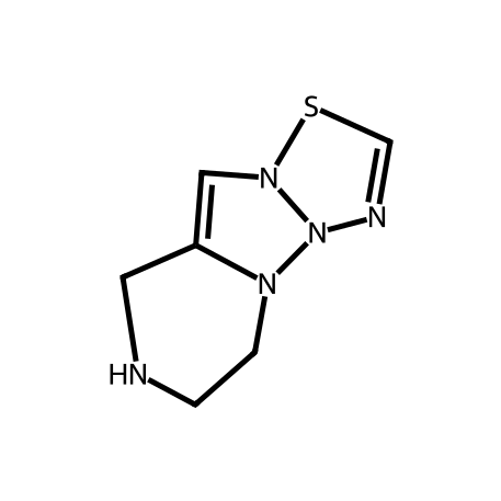 C1=NN2N(C=C3CNCCN32)S1